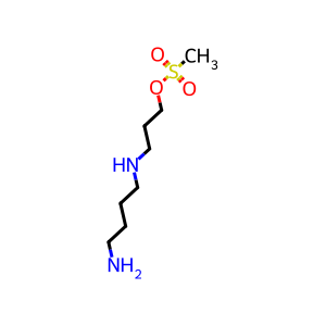 CS(=O)(=O)OCCCNCCCCN